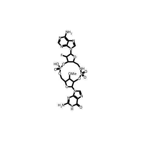 COC1C2COP(=O)(O)OC3C(CNS(=O)(=O)OC1C(n1cnc4c(=O)[nH]c(N)nc41)O2)OC(n1cnc2c(N)ncnc21)C3F